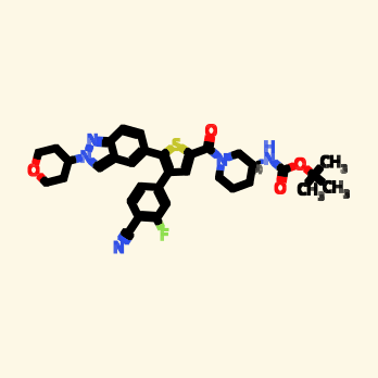 CC(C)(C)OC(=O)N[C@@H]1CCCN(C(=O)c2cc(-c3ccc(C#N)c(F)c3)c(-c3ccc4nn(C5CCOCC5)cc4c3)s2)C1